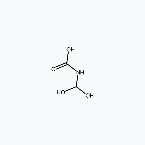 O=C(O)NC(O)O